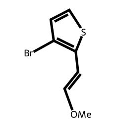 CO/C=C/c1sccc1Br